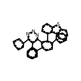 c1ccc(-c2ccc(-c3ccccc3)c(-c3cccc4sc5ccccc5c34)c2-c2nnnc(-c3ccccc3)c2-c2ccccc2)cc1